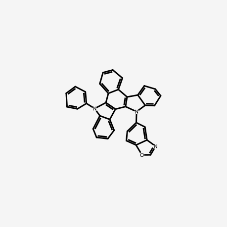 c1ccc(-n2c3ccccc3c3c2c2ccccc2c2c4ccccc4n(-c4ccc5ocnc5c4)c23)cc1